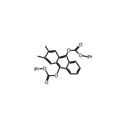 Cc1cc2c(OC(=O)OC(C)C)c3ccccc3c(OC(=O)OC(C)C)c2cc1C